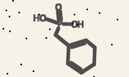 O=P(O)(O)CC1=CCCC=C1